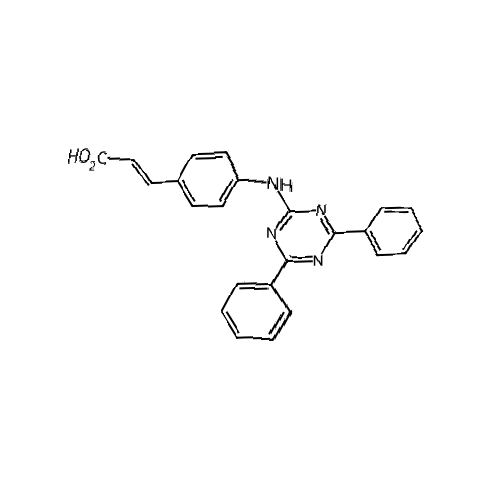 O=C(O)/C=C/c1ccc(Nc2nc(-c3ccccc3)nc(-c3ccccc3)n2)cc1